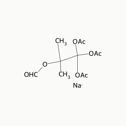 CC(=O)OC(OC(C)=O)(OC(C)=O)C(C)(C)OC=O.[Na]